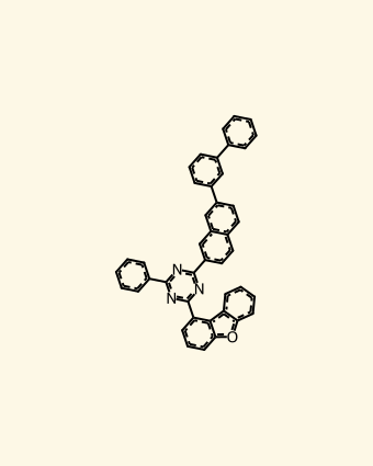 c1ccc(-c2cccc(-c3ccc4ccc(-c5nc(-c6ccccc6)nc(-c6cccc7oc8ccccc8c67)n5)cc4c3)c2)cc1